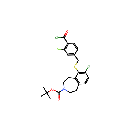 CC(C)(C)OC(=O)N1CCc2ccc(Cl)c(SCc3ccc(C(=O)Cl)c(F)c3)c2CC1